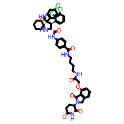 O=C(COc1cccc2c1C(=O)N(C1CCC(=O)NC1=O)C2)NCCCCNC(=O)c1ccc(NC(=O)[C@@H]2NC3(CCCCC3)[C@@]3(C(=O)Nc4cc(Cl)ccc43)[C@H]2c2cccc(Cl)c2F)cc1